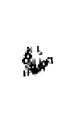 NCc1ccc2c(c1)CCC[C@H]2NC(=O)C[C@@H]1C(=O)NCCN1S(=O)(=O)c1ccc(Cl)cc1